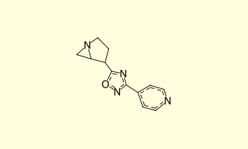 c1cc(-c2noc(C3CCN4CC34)n2)ccn1